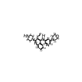 FCc1c(N2CCNCC2)nc2ccccc2c1Nc1cncc(N2CCOCC2)c1